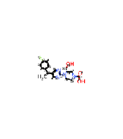 C=C(c1ccc(F)cc1)c1cnc(N2CCN(C(=O)O)C[C@H]2CO)nc1